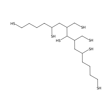 SCCCCC(S)CC(CS)C(S)C(CS)CC(S)CCCCS